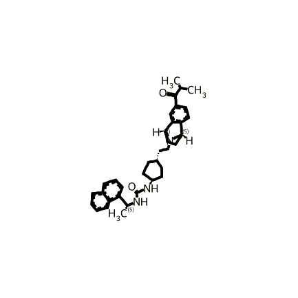 CC(C)C(=O)c1ccc2c(c1)[C@H]1CC[C@@H]2N1CC[C@H]1CC[C@H](NC(=O)N[C@@H](C)c2cccc3ccccc23)CC1